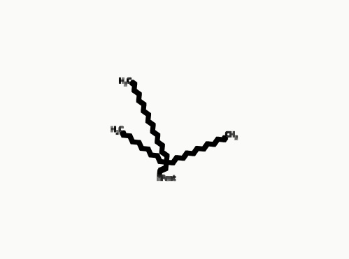 C=CCCCCCCCCCCCCCCC(C=CCCCCC)(CCCCCCCCC=C)CCCCCCCCCCC=C